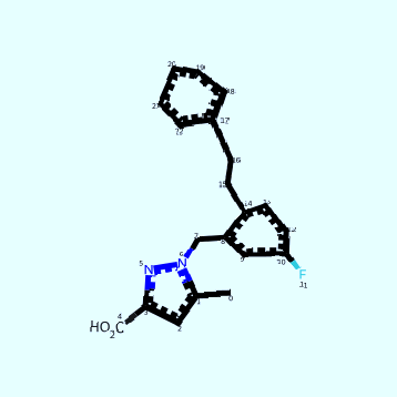 Cc1cc(C(=O)O)nn1Cc1cc(F)ccc1CCc1ccccc1